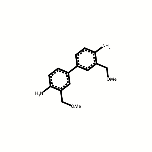 COCc1cc(-c2ccc(N)c(COC)c2)ccc1N